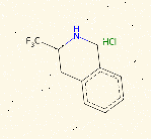 Cl.FC(F)(F)C1Cc2ccccc2CN1